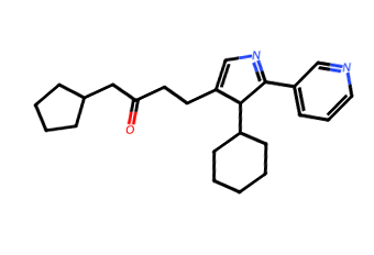 O=C(CCC1=CN=C(c2cccnc2)C1C1CCCCC1)CC1CCCC1